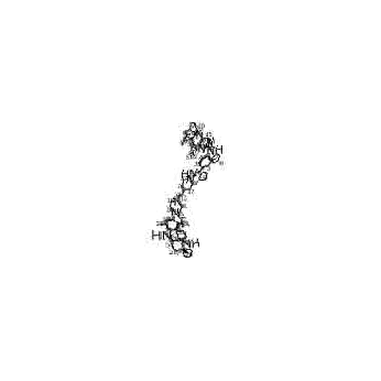 COc1cc(C(=O)NN2CCC(CCN3CCN(c4cc(C)c(NC5CCC(=O)NC5=O)cc4F)CC3)CC2)ccc1Nc1ncc2c(n1)N(C(C)C)CC(F)(F)C(=O)N2C